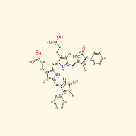 CC1=C(CCC(=O)O)C(=Cc2[nH]c(/C=C3\NC(=O)C(C)=C3c3ccccc3)c(C)c2CCC(=O)O)N=C1/C=C1\NC(=O)C(c2ccccc2)=C1C